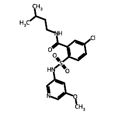 COc1cncc(NS(=O)(=O)c2ccc(Cl)cc2C(=O)NCCC(C)C)c1